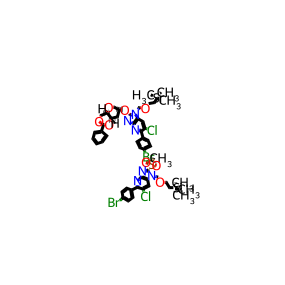 C[Si](C)(C)CCOCn1c(O[C@H]2CO[C@@H]3COC(c4ccccc4)O[C@H]3C2)nc2nc(-c3ccc(Br)cc3)c(Cl)cc21.C[Si](C)(C)CCOCn1c(S(C)(=O)=O)nc2nc(-c3ccc(Br)cc3)c(Cl)cc21